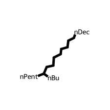 [CH2]CCCCC(CCCC)CCCCCCCCCCCCCCCCCC